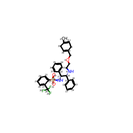 CC1=CCC(COCCN[C@H](c2ccccc2)[C@H](NS(=O)(=O)c2ccccc2C(F)(F)F)c2ccccc2)=CC1